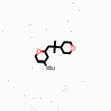 CC(C)(C)C1=CCOC(CC(C)(C)C2CCOCC2)C1